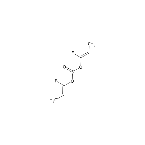 CC=C(F)OS(=O)OC(F)=CC